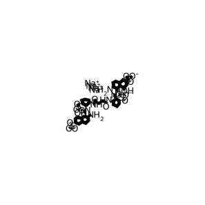 Nc1ccc2cc(S(=O)(=O)[O-])cc(O)c2c1N=Nc1c(NC(=O)CCC(=O)Nc2cccc(S(=O)(=O)[O-])c2N=Nc2c(N)ccc3cc(S(=O)(=O)[O-])cc(O)c23)cccc1S(=O)(=O)[O-].[Na+].[Na+].[Na+].[Na+]